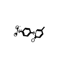 Cc1ccc(=O)n(-c2ccc([N+](=O)[O-])cc2)c1